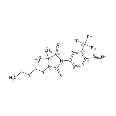 CCCCCN1C(=S)N(c2ccc(C#N)c(C(F)(F)F)c2)C(=O)C1(C)C